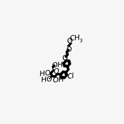 COCCOCCOc1ccc(Cc2cc(C3O[C@H](CO)[C@@H](O)[C@H](O)[C@H]3O)ccc2Cl)cc1